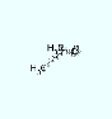 CCCCCCCCCC(C)C=Cc1ccccc1